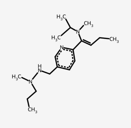 CCC=C(c1ccc(CNN(C)CCC)cn1)N(C)C(C)C